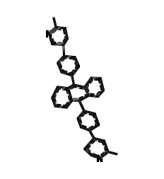 Cc1ccc(-c2ccc(-c3c4ccccc4c(-c4ccc(-c5ccnc(C)c5)cc4)c4ccccc34)cc2)cn1